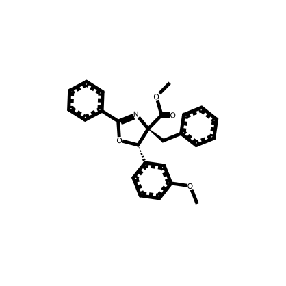 COC(=O)[C@@]1(Cc2ccccc2)N=C(c2ccccc2)O[C@H]1c1cccc(OC)c1